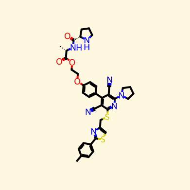 Cc1ccc(-c2nc(CSc3nc(N4CCCC4)c(C#N)c(-c4ccc(OCCOC(=O)[C@H](C)NC(=O)[C@@H]5CCCN5)cc4)c3C#N)cs2)cc1